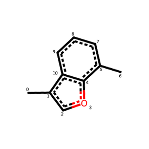 Cc1[c]oc2c(C)cccc12